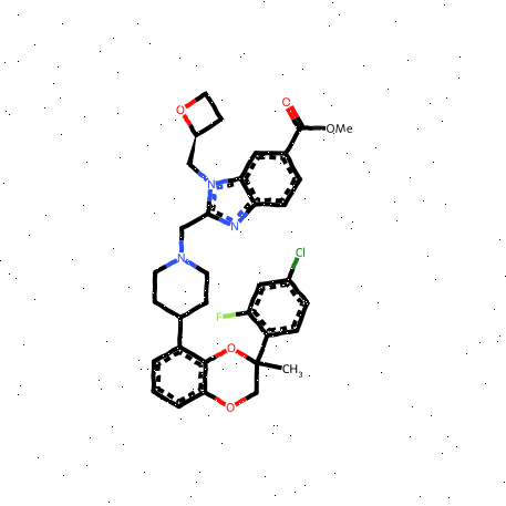 COC(=O)c1ccc2nc(CN3CCC(c4cccc5c4OC(C)(c4ccc(Cl)cc4F)CO5)CC3)n(C[C@@H]3CCO3)c2c1